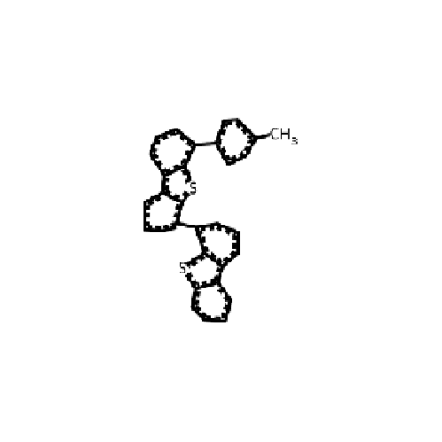 Cc1ccc(-c2cccc3c2sc2c(-c4cccc5c4sc4ccccc45)cccc23)cc1